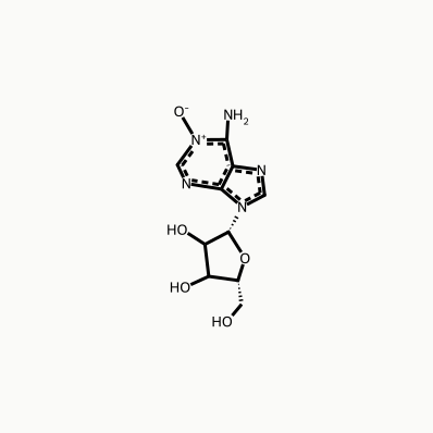 Nc1c2ncn([C@@H]3O[C@H](CO)C(O)C3O)c2nc[n+]1[O-]